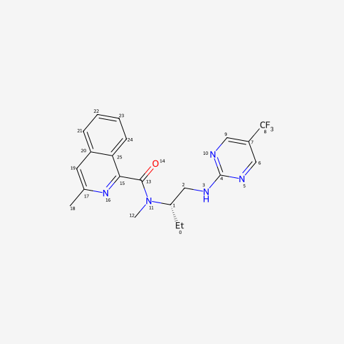 CC[C@@H](CNc1ncc(C(F)(F)F)cn1)N(C)C(=O)c1nc(C)cc2ccccc12